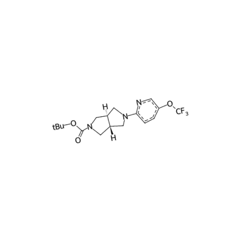 CC(C)(C)OC(=O)N1C[C@H]2CN(c3ccc(OC(F)(F)F)cn3)C[C@@H]2C1